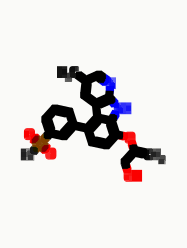 C=C(CO)Oc1ccc(-c2cccc(S(=O)(=O)CC)c2)c2c1[nH]c1ncc(C)cc12